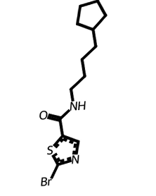 O=C(NCCCCC1CCCC1)c1cnc(Br)s1